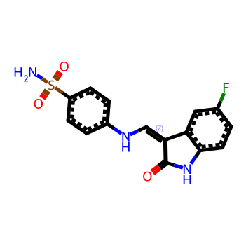 NS(=O)(=O)c1ccc(N/C=C2\C(=O)Nc3ccc(F)cc32)cc1